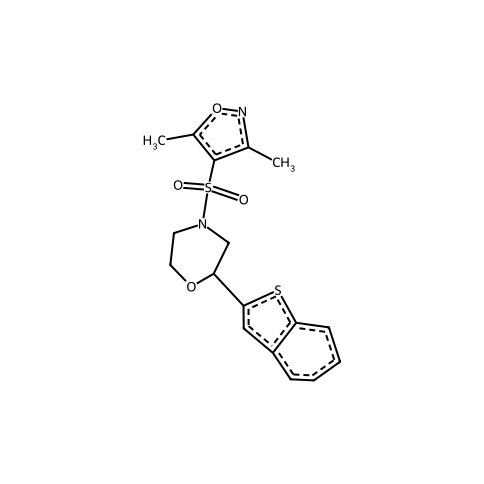 Cc1noc(C)c1S(=O)(=O)N1CCOC(c2cc3ccccc3s2)C1